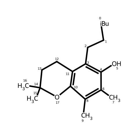 CCC(C)CCc1c(O)c(C)c(C)c2c1CCC(C)(C)O2